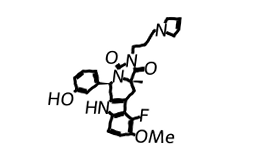 COc1ccc2[nH]c3c(c2c1F)C[C@@]1(C)C(=O)N(CCCN2CC=CC2)C(=O)N1[C@@H]3c1cccc(O)c1